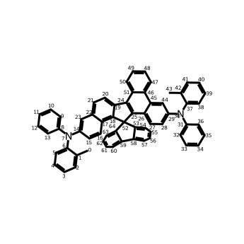 Cc1ccccc1N(c1ccccc1)c1ccc2c3c(ccc2c1)-c1c(c2ccc(N(c4ccccc4)c4ccccc4C)cc2c2ccccc12)C31c2ccccc2-c2ccccc21